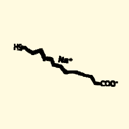 O=C([O-])CCCCCCCCCCCCS.[Na+]